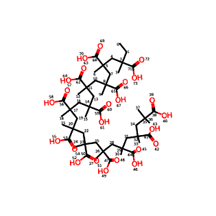 CCC(C)(CC(C)(CC(C)(CC(C)(CC(C)(CC(C)(CC(C)(CC(C)(CC(C)(CC(C)(CC(C)(CC(C)(C)C(=O)O)C(=O)O)C(=O)O)C(=O)O)C(=O)O)C(=O)O)C(=O)O)C(=O)O)C(=O)O)C(=O)O)C(=O)O)C(=O)O